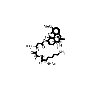 COc1ccc2c3c1O[C@@H]1C(OC(=O)C[C@H](OC(=O)[C@H](C)NC(=O)[C@H](CCCCN)NC(C)=O)C(=O)O)=CC[C@]4(O)[C@H](C2)N(C)CC[C@@]314